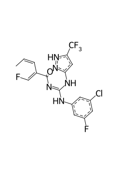 C/C=C\C(=C/F)C(=O)/N=C(/Nc1cc(F)cc(Cl)c1)Nc1cc(C(F)(F)F)[nH]n1